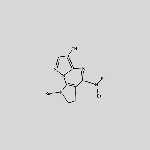 CCC(C)N1CCc2c(N(CC)CC)nc3c(C#N)cnn3c21